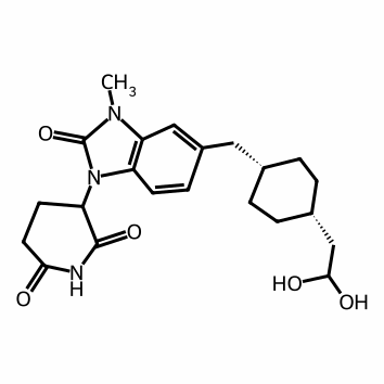 Cn1c(=O)n(C2CCC(=O)NC2=O)c2ccc(C[C@H]3CC[C@@H](CC(O)O)CC3)cc21